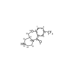 O=C1c2cc(C(F)(F)F)ccc2OCC2CNCCN12